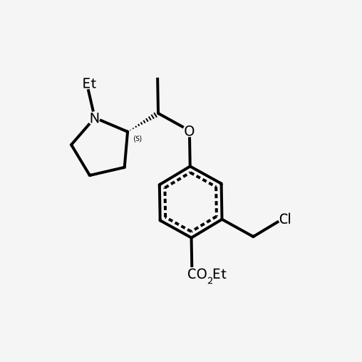 CCOC(=O)c1ccc(OC(C)[C@@H]2CCCN2CC)cc1CCl